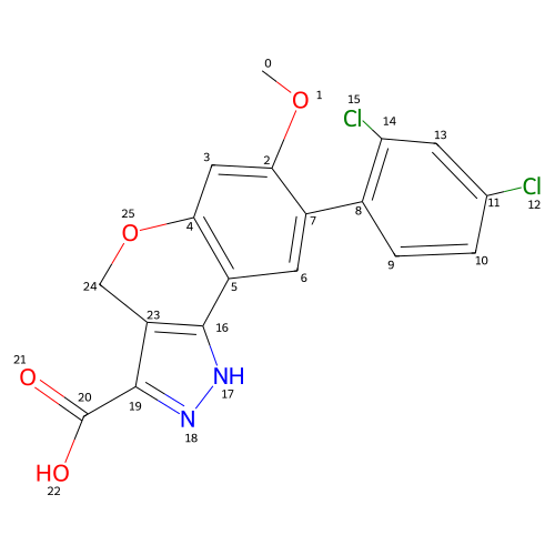 COc1cc2c(cc1-c1ccc(Cl)cc1Cl)-c1[nH]nc(C(=O)O)c1CO2